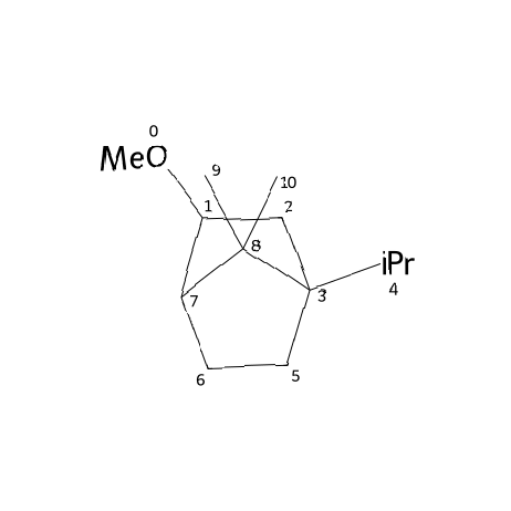 COC1CC2(C(C)C)CCC1C2(C)C